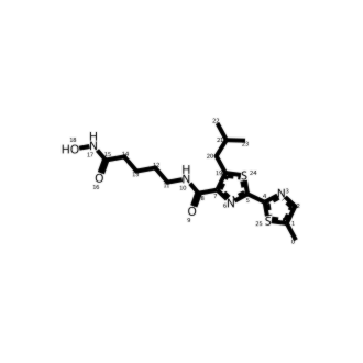 Cc1cnc(-c2nc(C(=O)NCCCCC(=O)NO)c(CC(C)C)s2)s1